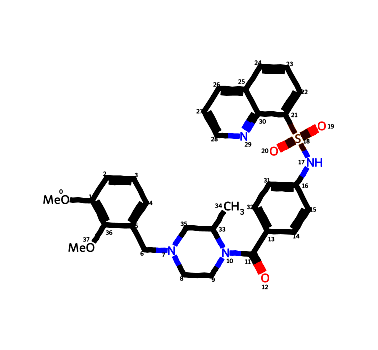 COc1cccc(CN2CCN(C(=O)c3ccc(NS(=O)(=O)c4cccc5cccnc45)cc3)C(C)C2)c1OC